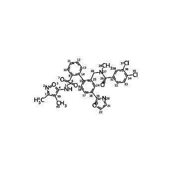 Cc1noc(NS(=O)(=O)c2ccccc2-c2ccc(-c3ncco3)cc2CN(C)C(=O)c2ccc(Cl)c(Cl)c2)c1C